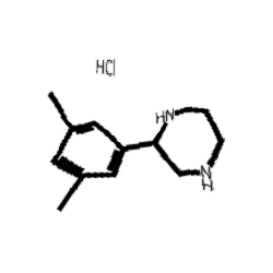 Cc1cc(C)cc(C2CNCCN2)c1.Cl